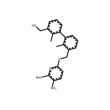 COc1nc(OCc2cccc(-c3cccc(CO)c3C)c2C)ccc1[N+](=O)[O-]